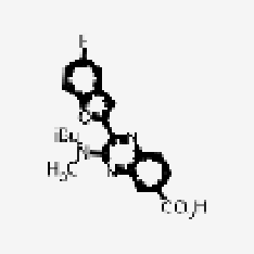 CCC(C)N(C)c1nc2cc(C(=O)O)ccc2nc1-c1cc2cc(F)ccc2o1